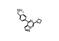 NCc1ccc(-c2nc(N3CCC3)cn3nccc23)cc1